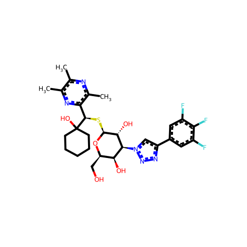 Cc1nc(C)c([C@@H](S[C@@H]2O[C@H](CO)[C@H](O)[C@H](n3cc(-c4cc(F)c(F)c(F)c4)nn3)[C@H]2O)C2(O)CCCCC2)nc1C